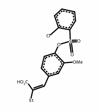 CCC(=Cc1ccc(OS(=O)(=O)c2ccccc2Cl)c(OC)c1)C(=O)O